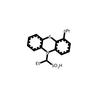 CCCc1cccc2c1Sc1ccccc1N2C(CC)S(=O)(=O)O